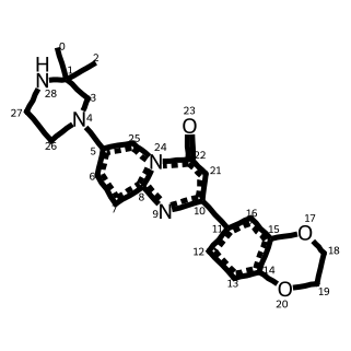 CC1(C)CN(c2ccc3nc(-c4ccc5c(c4)OCCO5)cc(=O)n3c2)CCN1